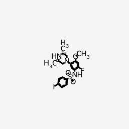 COc1cc(F)c(NS(=O)(=O)c2ccc(I)cc2)cc1N1C[C@@H](C)N[C@@H](C)C1